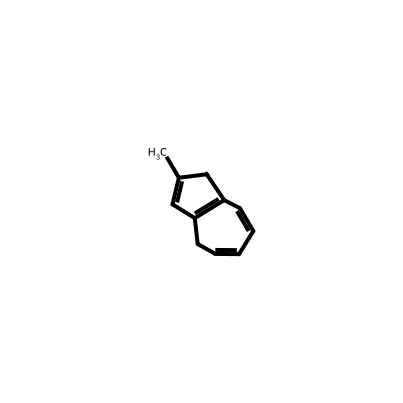 CC1=CC2=C([CH]1)C=CC=CC2